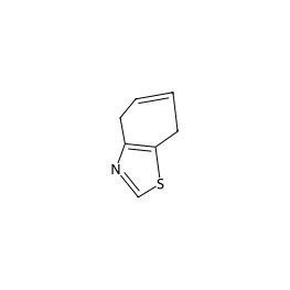 C1=CCc2scnc2C1